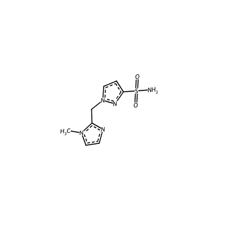 Cn1ccnc1Cn1ccc(S(N)(=O)=O)n1